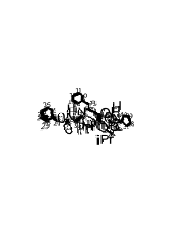 CC(C)CCN(C[C@@H](O)[C@H](Cc1ccccc1)NC(=O)[C@@H](NC(=O)OCc1ccccc1)C(C)C)S(=O)(=O)NC1(C(=O)O)CCCC1